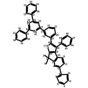 CC1(C)c2cc(-c3ccccc3)ccc2-c2c1sc(-c1cccc(-c3cc(-c4ccccc4)nc(-c4ccccc4)n3)c1)c2-c1ccccc1